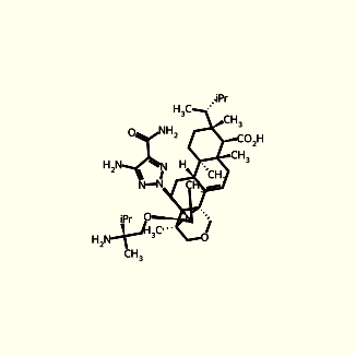 CC(C)[C@@H](C)[C@@]1(C)CC[C@]2(C)[C@H]3CC[C@H]4[C@]5(C)COC[C@]4(C3=CC[C@@]2(C)[C@@H]1C(=O)O)C(C)[C@@H](n1nc(N)c(C(N)=O)n1)[C@@H]5OC[C@](C)(N)C(C)C